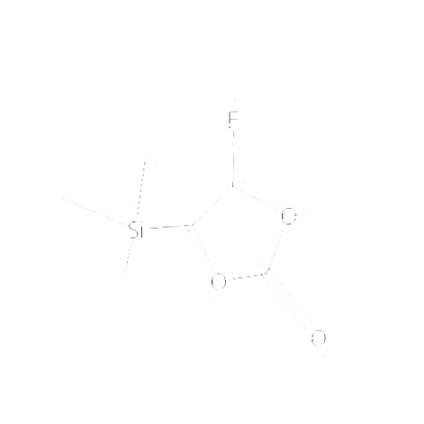 C[Si](C)(C)C1OC(=O)OC1F